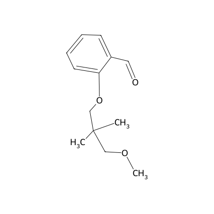 COCC(C)(C)COc1ccccc1C=O